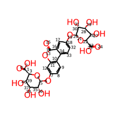 O=C(O)[C@H]1O[C@@H](Oc2ccc3c(c2)oc(=O)c2cc(O[C@@H]4O[C@H](C(=O)O)[C@@H](O)[C@H](O)[C@H]4O)ccc23)[C@H](O)[C@@H](O)[C@@H]1O